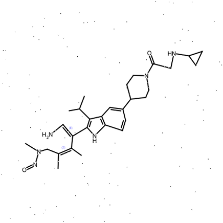 C/C(CN(C)N=O)=C(C)/C(=C\N)c1[nH]c2ccc(C3CCN(C(=O)CNC4CC4)CC3)cc2c1C(C)C